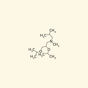 CC(C)CN(C)CC(COC(C)C)OC(C)C